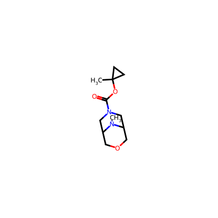 CN1C2COCC1CN(C(=O)OC1(C)CC1)C2